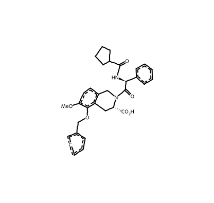 COc1ccc2c(c1OCc1ccccc1)C[C@@H](C(=O)O)N(C(=O)[C@@H](NC(=O)C1CCCC1)c1ccccc1)C2